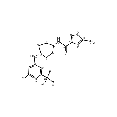 Cc1cc(N[C@H]2CC[C@@H](NC(=O)c3csc(N)n3)CC2)cc(C(F)(F)F)n1